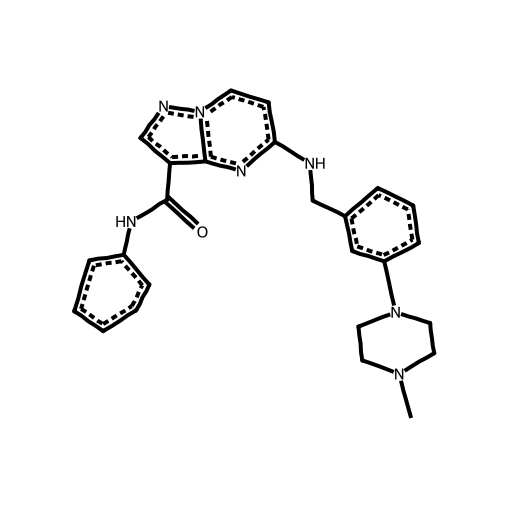 CN1CCN(c2cccc(CNc3ccn4ncc(C(=O)Nc5ccccc5)c4n3)c2)CC1